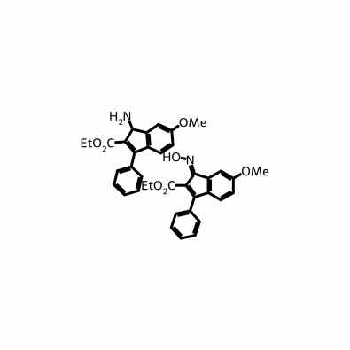 CCOC(=O)C1=C(c2ccccc2)c2ccc(OC)cc2/C1=N/O.CCOC(=O)C1=C(c2ccccc2)c2ccc(OC)cc2C1N